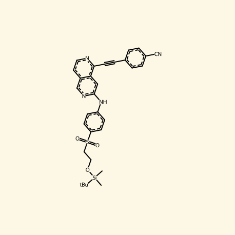 CC(C)(C)[Si](C)(C)OCCS(=O)(=O)c1ccc(Nc2cc3c(C#Cc4ccc(C#N)cc4)nccc3cn2)cc1